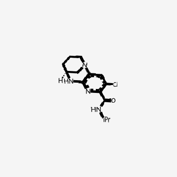 CC(C)NC(=O)c1nc2c(cc1Cl)N1CCC[C@@H](C1)N2